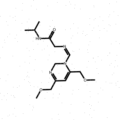 COCC1=CC(COC)=NCN1/C=N\CC(=O)NC(C)C